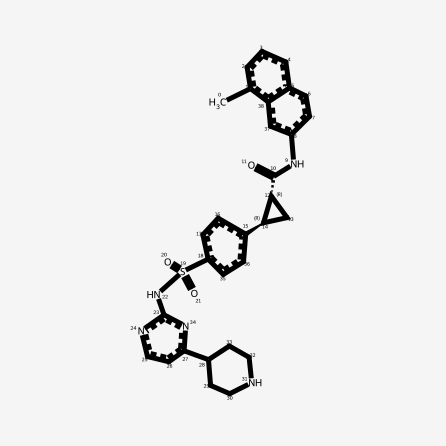 Cc1cccc2ccc(NC(=O)[C@@H]3C[C@H]3c3ccc(S(=O)(=O)Nc4nccc(C5CCNCC5)n4)cc3)cc12